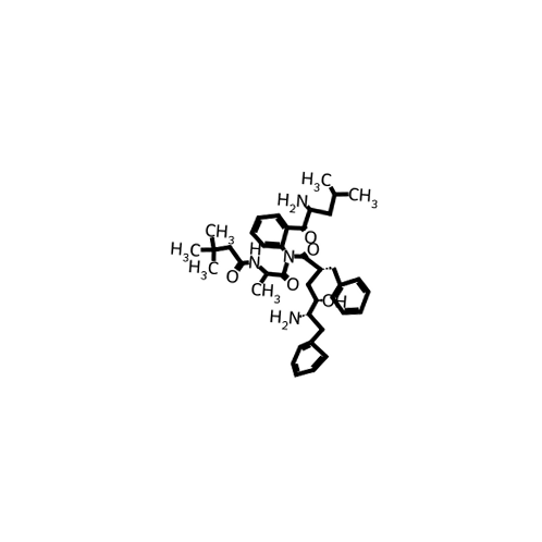 CC(C)CC(N)C(=O)c1ccccc1N(C(=O)C(C)NC(=O)CC(C)(C)C)C(=O)[C@H](Cc1ccccc1)C[C@H](O)[C@@H](N)Cc1ccccc1